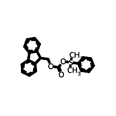 CS(C)(OC(=O)OCC1c2ccccc2-c2ccccc21)c1ccccc1